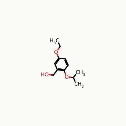 CCOc1ccc(OC(C)C)c([CH]O)c1